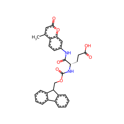 Cc1cc(=O)oc2cc(NC(=O)[C@H](CCC(=O)O)NC(=O)OCC3c4ccccc4-c4ccccc43)ccc12